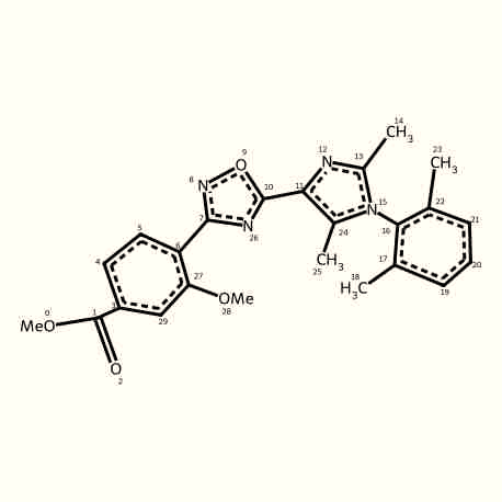 COC(=O)c1ccc(-c2noc(-c3nc(C)n(-c4c(C)cccc4C)c3C)n2)c(OC)c1